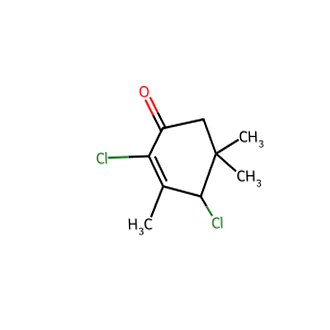 CC1=C(Cl)C(=O)CC(C)(C)C1Cl